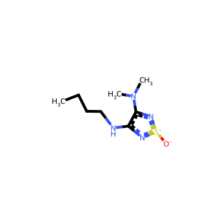 CCCCNc1n[s+]([O-])nc1N(C)C